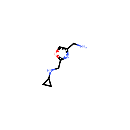 NCc1coc(CNC2CC2)n1